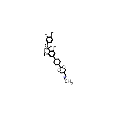 C/C=C/C1COC(C2CCC(c3cc(F)c(C(F)(F)Oc4ccc(F)c(F)c4)c(F)c3)CC2)OC1